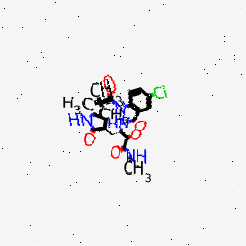 CNC(=O)C(=O)[C@H](C[C@@H]1CCNC1=O)NC(=O)c1cc(Cl)ccc1NC(=O)C(C)(C)C